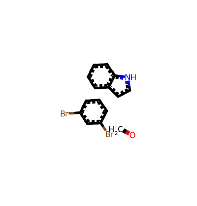 Brc1cccc(Br)c1.C=O.c1ccc2[nH]ccc2c1